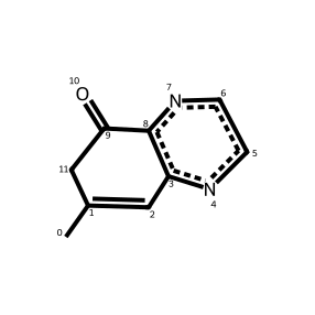 CC1=Cc2nccnc2C(=O)C1